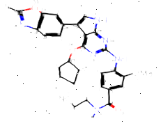 COc1cc(C(=O)N(C)CCC#N)ccc1Nc1nc(OC2CCCC2)c2c(-c3ccc4nc(C)oc4c3)c[nH]c2n1